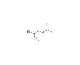 CCC(CC=C(F)F)C(F)(F)F